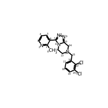 Cc1ncccc1-c1nnc2n1CCN(Cc1cccc(Cl)c1Cl)C2